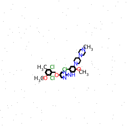 COc1cc(Nc2ncc(OCc3c(Cl)c(C)cc(OC)c3Cl)cn2)c(Cl)cc1N1CCC(N2CCN(C)CC2)CC1